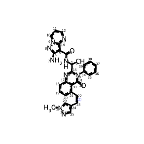 CC(NC(=O)c1c(N)nn2cccnc12)c1nc2cccc(/C=C\c3cnn(C)c3)c2c(=O)n1-c1ccccc1